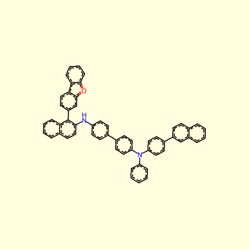 c1ccc(N(c2ccc(-c3ccc(Nc4ccc5ccccc5c4-c4ccc5c(c4)oc4ccccc45)cc3)cc2)c2ccc(-c3ccc4ccccc4c3)cc2)cc1